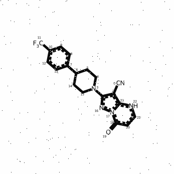 N#Cc1c(N2CCC(c3ccc(C(F)(F)F)cc3)CC2)nn2c(=O)cc[nH]c12